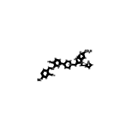 N#Cc1ccc(COc2nc(C3CCN(Cc4nc5sc(C(=O)O)cc5n4C[C@@H]4CCO4)CC3)ccc2F)c(F)c1